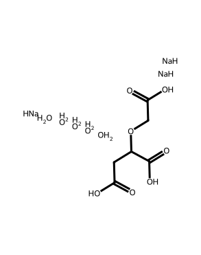 O.O.O.O.O.O=C(O)COC(CC(=O)O)C(=O)O.[NaH].[NaH].[NaH]